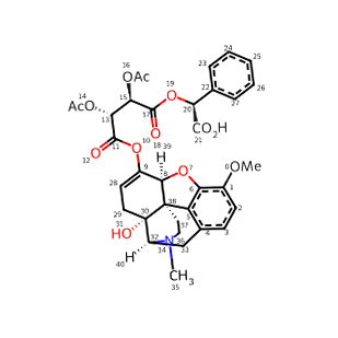 COc1ccc2c3c1O[C@@H]1C(OC(=O)[C@H](OC(C)=O)[C@@H](OC(C)=O)C(=O)O[C@H](C(=O)O)c4ccccc4)=CC[C@]4(O)[C@H](C2)N(C)CC[C@@]314